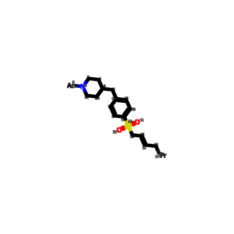 CC(=O)N1CCC(Cc2ccc(S(=O)(=O)CC=CCC(C)C)cc2)CC1